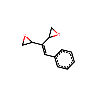 C(=C(C1CO1)C1CO1)c1ccccc1